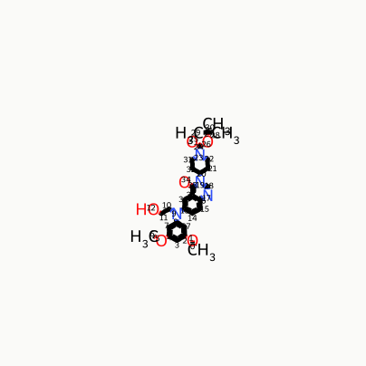 COc1cc(OC)cc(N(CCO)c2ccc3ncn(C4CCN(C(=O)OC(C)(C)C)CC4)c(=O)c3c2)c1